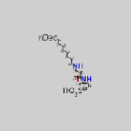 CCCCCCCCCCCCCCCCCCNCCC(=O)NC(C)(C)CS(=O)(=O)O